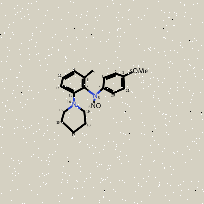 COc1ccc(N(N=O)c2c(C)cccc2N2CCCCC2)cc1